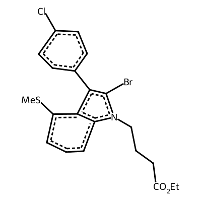 CCOC(=O)CCCn1c(Br)c(-c2ccc(Cl)cc2)c2c(SC)cccc21